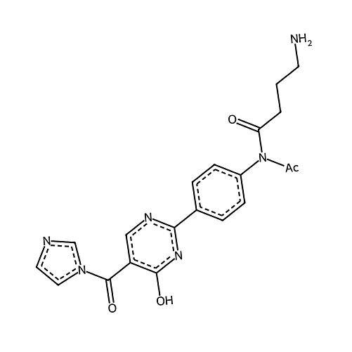 CC(=O)N(C(=O)CCCN)c1ccc(-c2ncc(C(=O)n3ccnc3)c(O)n2)cc1